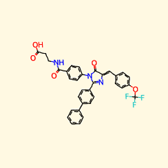 O=C(O)CCNC(=O)c1ccc(N2C(=O)/C(=C/c3ccc(OC(F)(F)F)cc3)N=C2c2ccc(-c3ccccc3)cc2)cc1